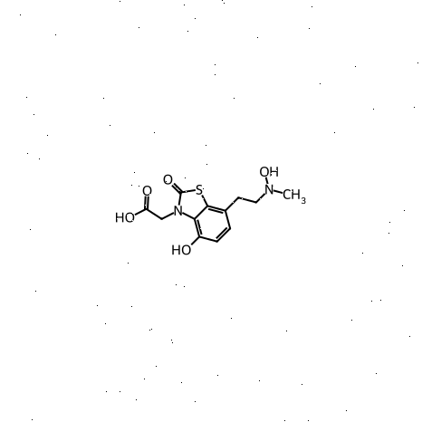 CN(O)CCc1ccc(O)c2c1sc(=O)n2CC(=O)O